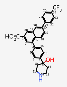 O=C(O)c1cc(-c2ccc(C3(O)CCNCC3)cc2)c2ccc(-c3ccc(C(F)(F)F)cc3)cc2c1